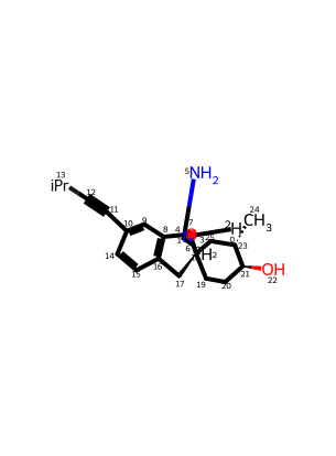 [2H]C1([2H])OC(N)=NC12c1cc(C#CC(C)C)ccc1C[C@@]21CC[C@H](O)[C@@H](C)C1